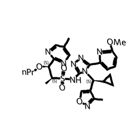 CCCO[C@@H](c1ncc(C)cn1)[C@H](C)S(=O)(=O)Nc1nnc(-c2cccc(OC)n2)n1[C@H](c1conc1C)C1CC1